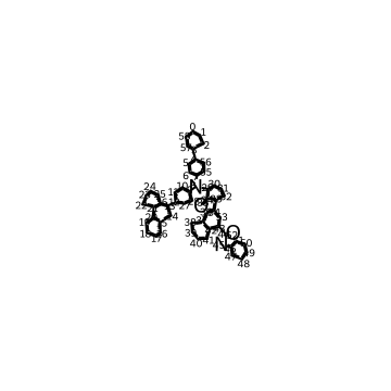 c1ccc(-c2ccc(N(c3ccc(-c4cc5ccccc5c5ccccc45)cc3)c3cccc4c3oc3c5ccccc5c(-c5nc6ccccc6o5)cc43)cc2)cc1